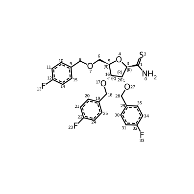 NC(=S)[C@@H]1O[C@H](COCc2ccc(F)cc2)[C@@H](OCc2ccc(F)cc2)[C@H]1OCc1ccc(F)cc1